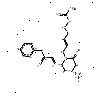 COC(=O)COCC=CCN1C(=O)CCC[C@@H]1C=CC(=O)Cc1ccccc1.[H-].[Na+]